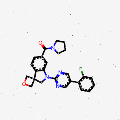 O=C(c1ccc2c(c1)N(c1ncc(-c3ccccc3F)cn1)CC21COC1)N1CCCC1